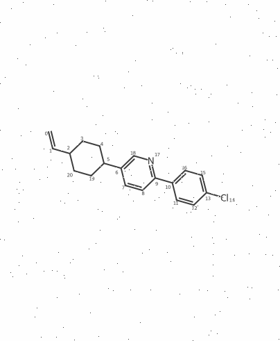 C=CC1CCC(c2ccc(-c3ccc(Cl)cc3)nc2)CC1